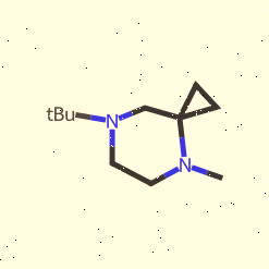 CN1CCN(C(C)(C)C)CC12CC2